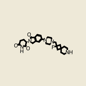 O=C1CC[C@H](N2Cc3cc(N4CCN(CC5(F)CC6(CCNCC6)C5)CC4)ccc3C2=O)C(=O)N1